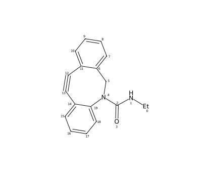 CCNC(=O)N1Cc2ccccc2C#Cc2ccccc21